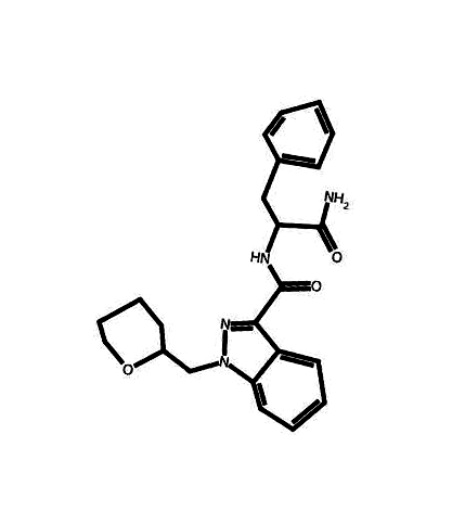 NC(=O)C(Cc1ccccc1)NC(=O)c1nn(CC2CCCCO2)c2ccccc12